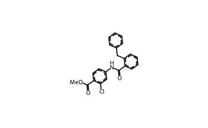 COC(=O)c1ccc(NC(=O)c2ccccc2Cc2ccccc2)cc1Cl